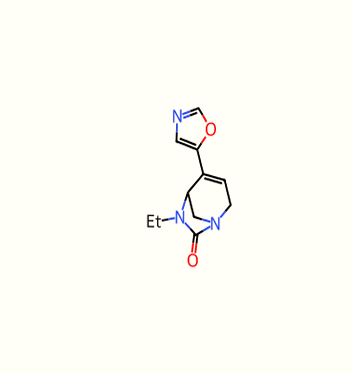 CCN1C(=O)N2CC=C(c3cnco3)C1C2